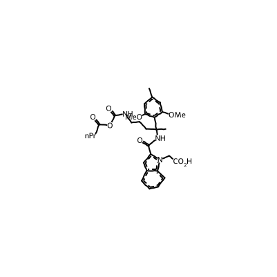 CCCC(=O)OC(=O)NCCCC(C)(NC(=O)c1cc2ccccc2n1CC(=O)O)c1c(OC)cc(C)cc1OC